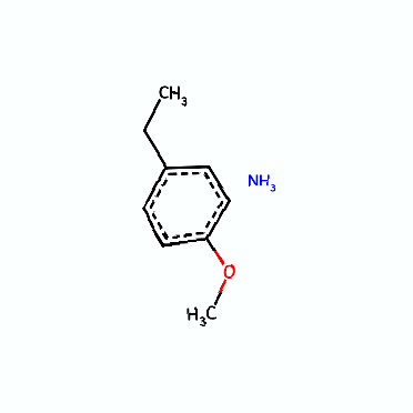 CCc1ccc(OC)cc1.N